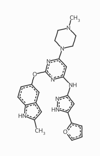 Cc1cc2cc(Oc3nc(Nc4cc(-c5ccco5)[nH]n4)cc(N4CCN(C)CC4)n3)ccc2[nH]1